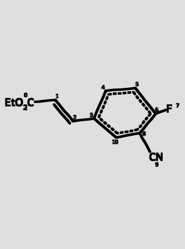 CCOC(=O)C=Cc1ccc(F)c(C#N)c1